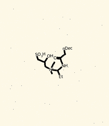 CCCCCCCCCCCC(=O)NC(CC)[N+](C)(C)CC(O)CS(=O)(=O)O